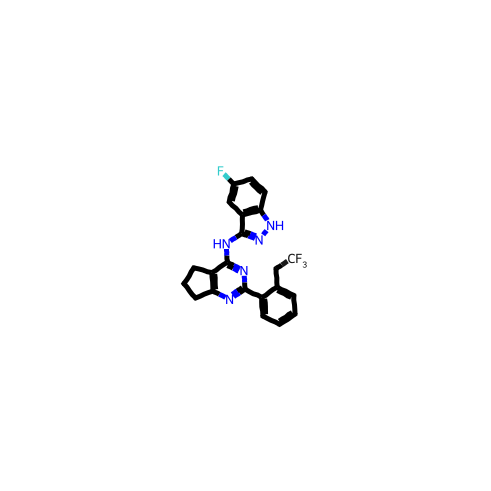 Fc1ccc2[nH]nc(Nc3nc(-c4ccccc4CC(F)(F)F)nc4c3CCC4)c2c1